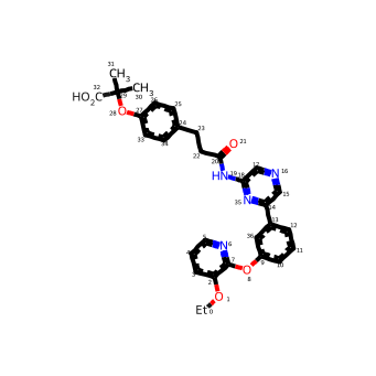 CCOc1cccnc1Oc1cccc(-c2cncc(NC(=O)CCc3ccc(OC(C)(C)C(=O)O)cc3)n2)c1